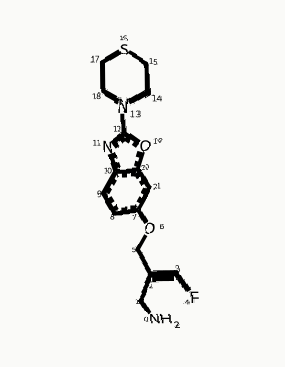 NCC(=CF)COc1ccc2nc(N3CCSCC3)oc2c1